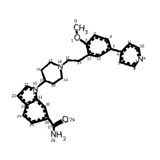 COc1ccc(-c2ccncc2)cc1CCN1CCC(n2ccc3ccc(C(N)=O)cc32)CC1